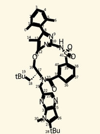 Cc1cccc(C)c1-c1nc2nc(c1C)OC[C@@H](CC(C)(C)C)N(Cc1cnc3cc(C(C)(C)C)n(C)c3n1)C(=O)c1cccc(c1)S(=O)(=O)N2